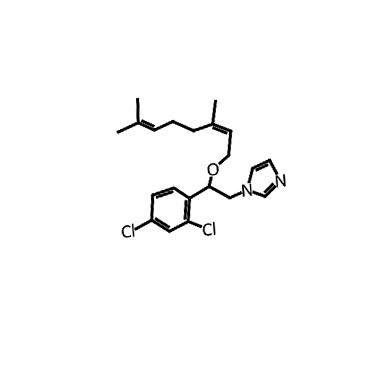 CC(C)=CCC/C(C)=C\COC(Cn1ccnc1)c1ccc(Cl)cc1Cl